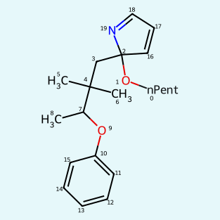 CCCCCOC1(CC(C)(C)C(C)Oc2ccccc2)C=CC=N1